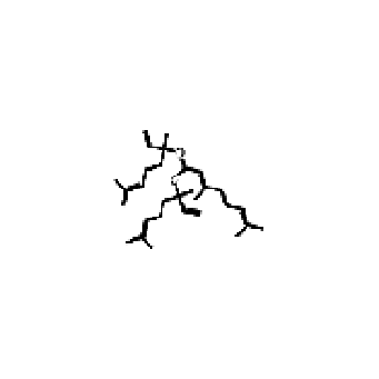 C=CC(C)(CCC=C(C)C)OC(/C=C(\C)CCC=C(C)C)OC(C)(C=C)CCC=C(C)C